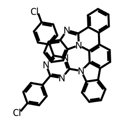 Clc1ccc(-c2nc(-c3ccc(Cl)cc3)nc(-n3c4ccccc4c4ccc5c6ccccc6c6nc7ccccc7n6c5c43)n2)cc1